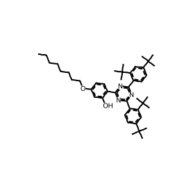 CCCCCCCCOc1ccc(-c2nc(-c3ccc(C(C)(C)C)cc3C(C)(C)C)nc(-c3ccc(C(C)(C)C)cc3C(C)(C)C)n2)c(O)c1